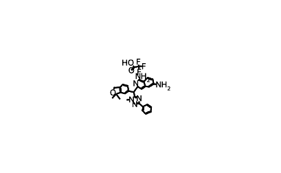 Cn1nc(-c2ccccc2)nc1C(c1ccc2c(c1)C(C)(C)OC2)c1cc2cc(N)ccc2c(N)n1.O=C(O)C(F)(F)F